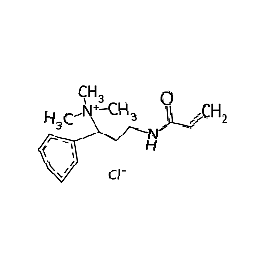 C=CC(=O)NCCC(c1ccccc1)[N+](C)(C)C.[Cl-]